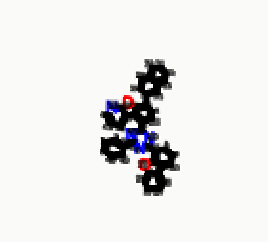 c1ccc(-c2nc(-c3cccc4c3oc3ccccc34)nc(-c3ccc(-c4ccc5ccccc5c4)c4oc5ncccc5c34)n2)cc1